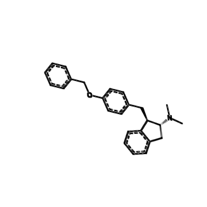 CN(C)[C@@H]1Cc2ccccc2[C@H]1Cc1ccc(OCc2ccccc2)cc1